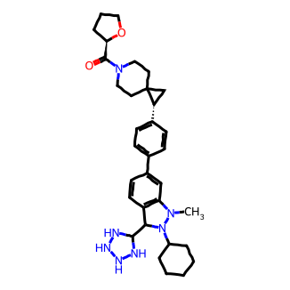 CN1c2cc(-c3ccc([C@H]4CC45CCN(C(=O)[C@H]4CCCO4)CC5)cc3)ccc2C(C2NNNN2)N1C1CCCCC1